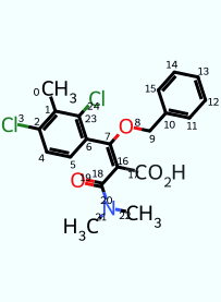 Cc1c(Cl)ccc(C(OCc2ccccc2)=C(C(=O)O)C(=O)N(C)C)c1Cl